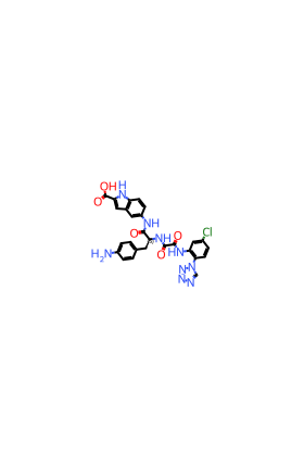 Nc1ccc(C[C@H](NC(=O)C(=O)Nc2cc(Cl)ccc2-n2cnnn2)C(=O)Nc2ccc3[nH]c(C(=O)O)cc3c2)cc1